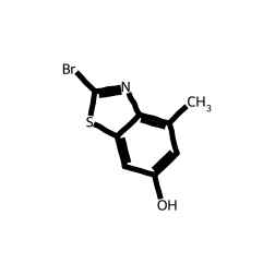 Cc1cc(O)cc2sc(Br)nc12